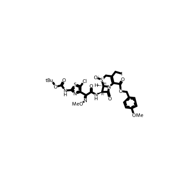 CON=C(C(=O)N[C@@H]1C(=O)N2C(C(=O)OCc3ccc(OC)cc3)=C(CI)C[S+]([O-])[C@H]12)c1nc(NC(=O)OC(C)(C)C)sc1Cl